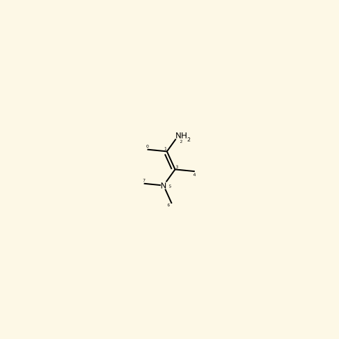 CC(N)=C(C)N(C)C